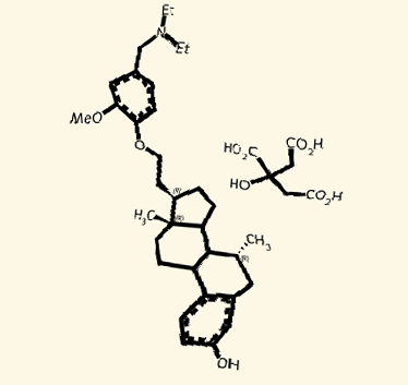 CCN(CC)Cc1ccc(OCC[C@H]2CCC3C4C(CC[C@@]32C)c2ccc(O)cc2C[C@H]4C)c(OC)c1.O=C(O)CC(O)(CC(=O)O)C(=O)O